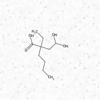 CCCCC(CC)(CC(O)O)C(=O)O